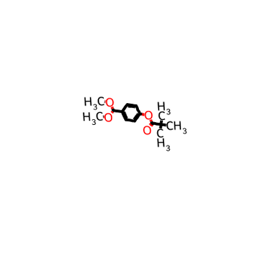 COC(OC)c1ccc(OC(=O)C(C)(C)C)cc1